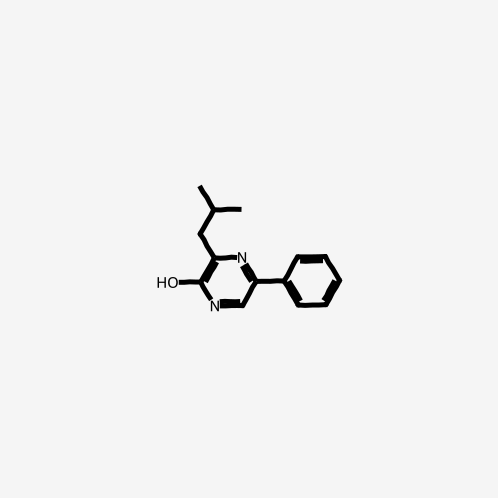 CC(C)Cc1nc(-c2ccccc2)cnc1O